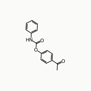 CC(=O)c1ccc(OC(=O)Nc2ccccc2)cc1